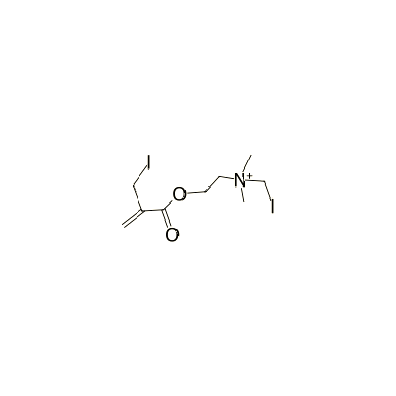 C=C(CI)C(=O)OCC[N+](C)(C)CI